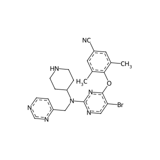 Cc1cc(C#N)cc(C)c1Oc1nc(N(Cc2ccncn2)C2CCNCC2)ncc1Br